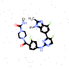 CCNC(=O)N1CCN(C(=O)c2ccc(Nc3ncc(F)c(-c4cc(F)c5nc(C)n(C(C)C)c5c4)n3)cc2F)CC1